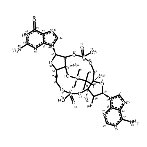 CC(C)(C)[Si](C)(C)O[C@@H]1C2OP(=O)(O)OC[C@H]3O[C@@H](n4cnc5c(N)ncnc54)C(F)[C@H]3OP(=O)(O)OC[C@H]1O[C@H]2n1cnc2c(=O)[nH]c(N)nc21